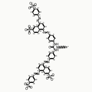 O=C(Nc1ccc(N=Nc2ccc(N=Nc3ccc(S(=O)(=O)[O-])cc3)c3cc(S(=O)(=O)[O-])ccc23)cc1)Nc1ccc(N=Nc2ccc(N=Nc3ccc(S(=O)(=O)[O-])cc3)c3cc(S(=O)(=O)[O-])ccc23)cc1.[Na+].[Na+].[Na+].[Na+]